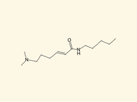 CCCCCNC(=O)C=CCCCN(C)C